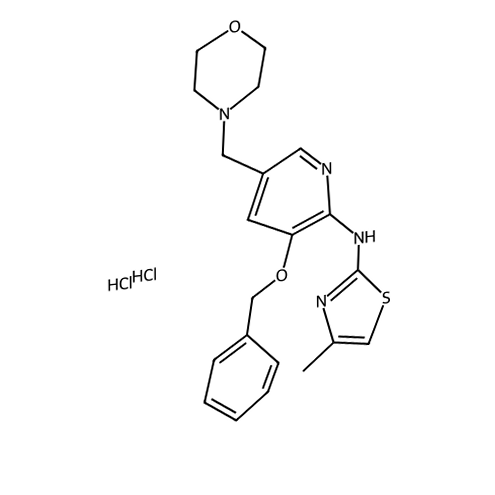 Cc1csc(Nc2ncc(CN3CCOCC3)cc2OCc2ccccc2)n1.Cl.Cl